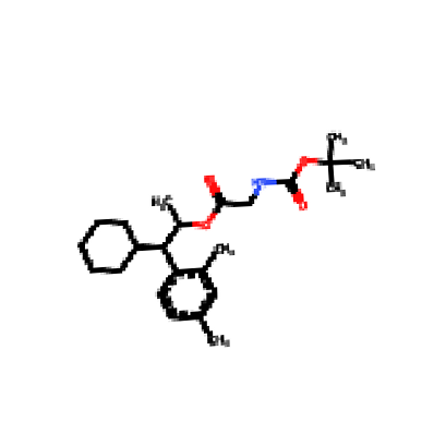 Cc1ccc(C(C2CCCCC2)C(C)OC(=O)CNC(=O)OC(C)(C)C)c(C)c1